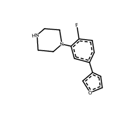 Fc1ccc(-c2ccoc2)cc1N1CCNCC1